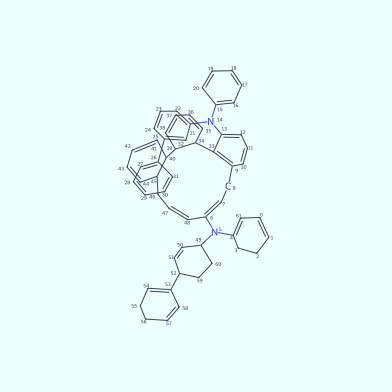 C1=CCCC(N(C2=C/Cc3cccc(N(c4ccccc4)c4cccc(-c5ccccc5)c4)c3C3C=CC=CC3C3C=CC=CC3C/C=C\2)C2C=CC(C3=CCCC=C3)CC2)=C1